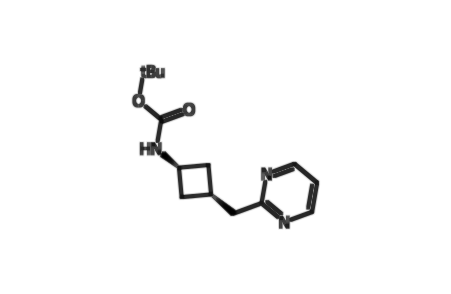 CC(C)(C)OC(=O)N[C@H]1C[C@@H](Cc2ncccn2)C1